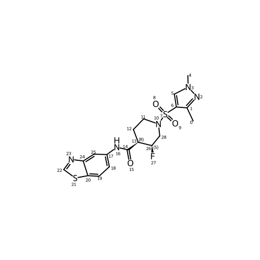 Cc1nn(C)cc1S(=O)(=O)N1CC[C@H](C(=O)Nc2ccc3scnc3c2)[C@H](F)C1